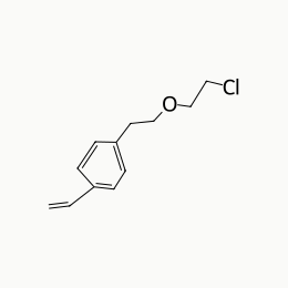 C=Cc1ccc(CCOCCCl)cc1